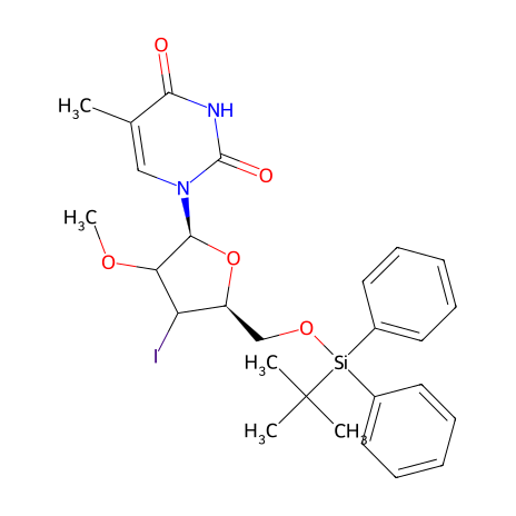 COC1C(I)[C@H](CO[Si](c2ccccc2)(c2ccccc2)C(C)(C)C)O[C@@H]1n1cc(C)c(=O)[nH]c1=O